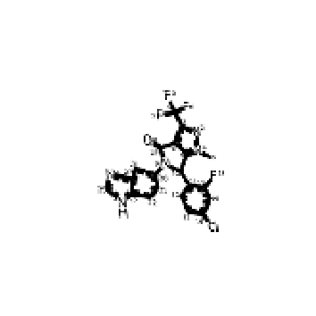 Cn1nc(C(F)(F)F)c2c1C(c1ccc(Cl)cc1F)N(c1ccc3[nH]cnc3c1)C2=O